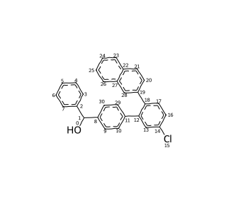 OC(c1ccccc1)c1ccc(-c2cc(Cl)ccc2-c2ccc3ccccc3c2)cc1